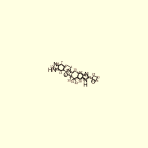 CCN(C(=O)c1ccc2nc[nH]c2c1)[C@@H]1Cc2cc3nc([C@@H]4CCCO4)[nH]c3cc2C(C)(C)C1(C)C